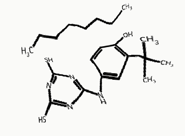 CC(C)(C)c1cc(Nc2nc(S)nc(S)n2)ccc1O.CCCCCCCC